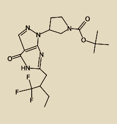 CCC(Cc1nc2c(cnn2C2CCN(C(=O)OC(C)(C)C)C2)c(=O)[nH]1)C(F)(F)F